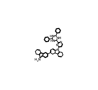 Nn1c2c(c3cc(C4=CC=C5C(C4)C4=C(CCC=C4)N5c4ccnc(C5NC(c6ccccc6)NC(c6ccccc6)N5)n4)ccc31)C=CCC2